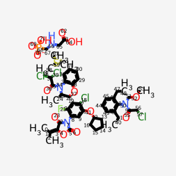 CC(C)=C1OC(=O)N(c2cc(OC3CCCC3)c(Cl)cc2F)C1=O.CC1COc2ccccc2N1C(=O)C(Cl)Cl.CCc1cccc(CC)c1N(COC)C(=O)CCl.C[S+](C)C.O=C(O)CNCP(=O)([O-])O